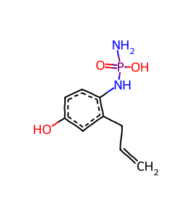 C=CCc1cc(O)ccc1NP(N)(=O)O